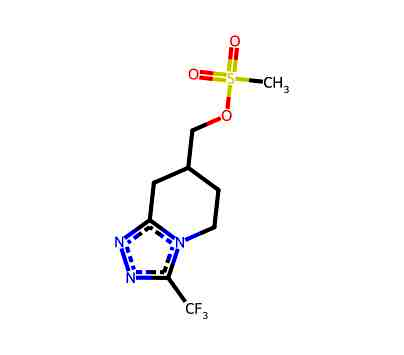 CS(=O)(=O)OCC1CCn2c(nnc2C(F)(F)F)C1